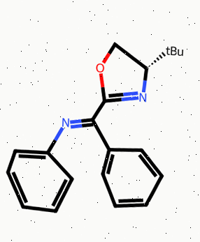 CC(C)(C)[C@H]1COC(/C(=N/c2ccccc2)c2ccccc2)=N1